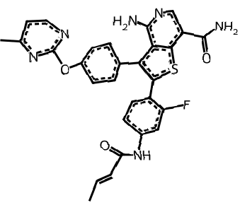 CC=CC(=O)Nc1ccc(-c2sc3c(C(N)=O)cnc(N)c3c2-c2ccc(Oc3nccc(C)n3)cc2)c(F)c1